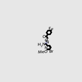 COc1nc(/C(N)=N/OCC(=O)C2CCC(F)(F)CC2)ccc1Br